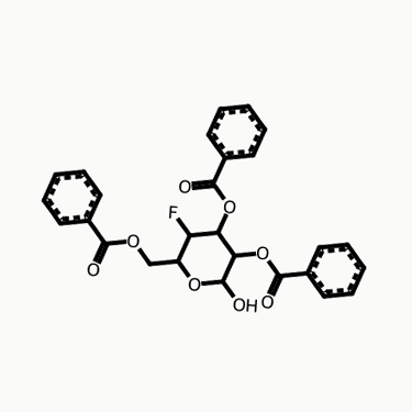 O=C(OCC1OC(O)C(OC(=O)c2ccccc2)C(OC(=O)c2ccccc2)C1F)c1ccccc1